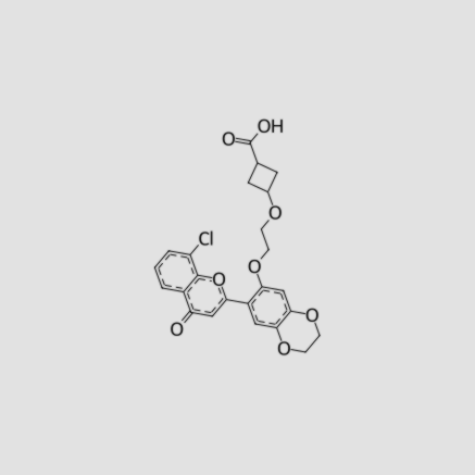 O=C(O)C1CC(OCCOc2cc3c(cc2-c2cc(=O)c4cccc(Cl)c4o2)OCCO3)C1